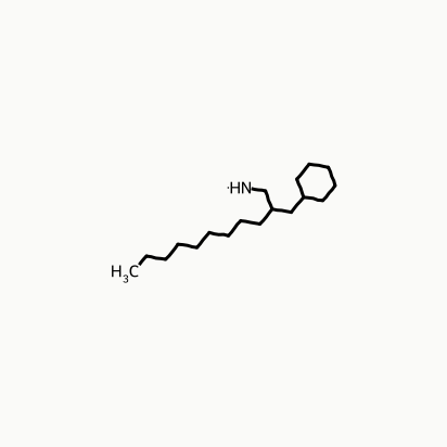 CCCCCCCCCC(C[NH])CC1CCCCC1